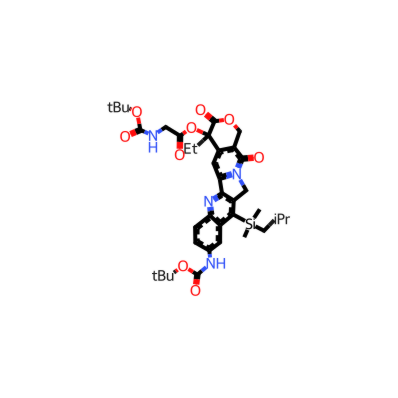 CCC1(OC(=O)CNC(=O)OC(C)(C)C)C(=O)OCc2c1cc1n(c2=O)Cc2c-1nc1ccc(NC(=O)OC(C)(C)C)cc1c2[Si](C)(C)CC(C)C